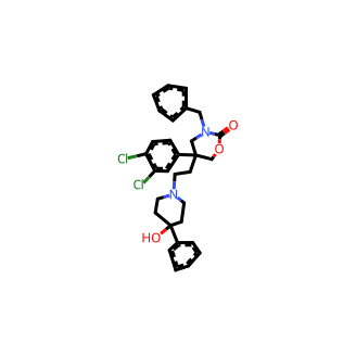 O=C1OCC(CCN2CCC(O)(c3ccccc3)CC2)(c2ccc(Cl)c(Cl)c2)CN1Cc1ccccc1